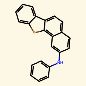 c1ccc(Nc2ccc3ccc4c5ccccc5sc4c3c2)cc1